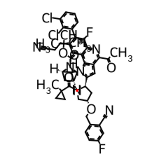 CC(=O)c1nc2c(F)c(-c3cccc(Cl)c3Cl)c(CCC#N)cc2c2c1cc([C@H]1C[C@H](OCc3ccc(F)cc3C#N)CN1C(=O)C1(C)CC1)n2[C@H]1[C@@H]2C[C@H]1N(C(=O)OC(C)(C)C)C2